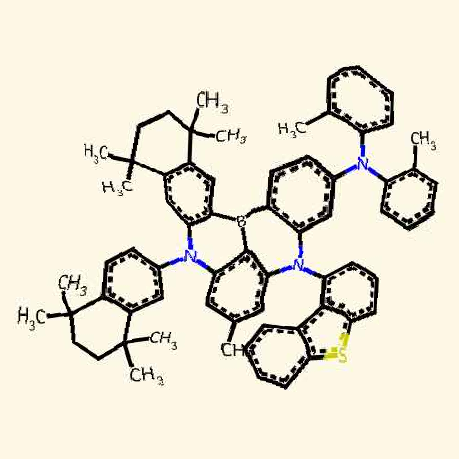 Cc1cc2c3c(c1)N(c1cccc4sc5ccccc5c14)c1cc(N(c4ccccc4C)c4ccccc4C)ccc1B3c1cc3c(cc1N2c1ccc2c(c1)C(C)(C)CCC2(C)C)C(C)(C)CCC3(C)C